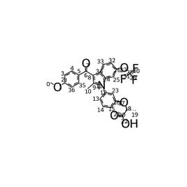 COc1ccc(C(=O)c2c(C)n(-c3cccc(O[C@H](C)C(=O)O)c3)c3cc(OC(F)(F)F)ccc23)cc1